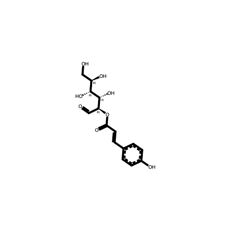 O=C[C@H](OC(=O)C=Cc1ccc(O)cc1)[C@@H](O)[C@H](O)[C@H](O)CO